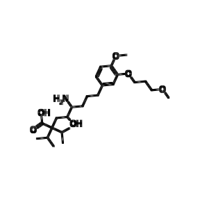 COCCCOc1cc(CCCC(N)C(O)CC(C(=O)O)(C(C)C)C(C)C)ccc1OC